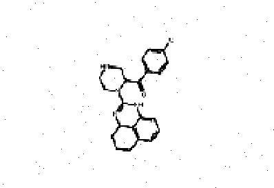 O=C(c1ccc(Cl)cc1)C1CNCCN1C1=NC2CCCc3cccc(c32)N1